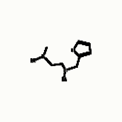 CCN(C)CCN(CC)Cc1ccco1